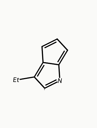 CCC1=C2C=CC=C2N=[C]1